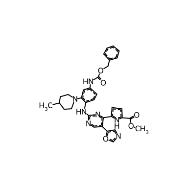 COC(=O)c1ccc(-c2nc(Nc3ccc(NC(=O)OCc4ccccc4)cc3N3CCC(C)CC3)ncc2-c2cnco2)[nH]1